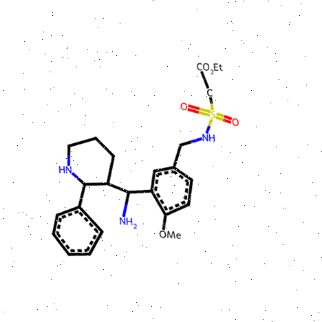 CCOC(=O)CS(=O)(=O)NCc1ccc(OC)c(C(N)C2CCCNC2c2ccccc2)c1